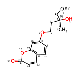 CC(=O)OC[C@](C)(O)CCOc1ccc2ccc(=O)oc2c1